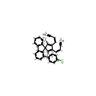 C#C/C=C\C1=C(C)C2(C(C)=C1/C=C\C#C)c1ccccc1-c1cccc(-c3ccc(Cl)cc3)c12